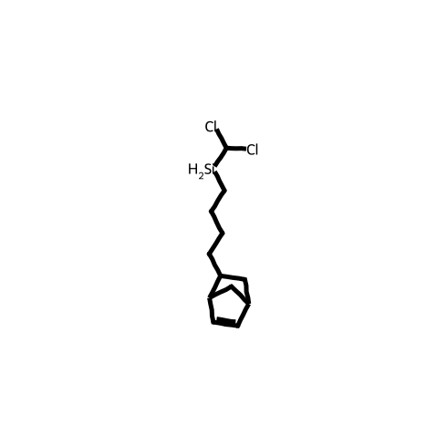 ClC(Cl)[SiH2]CCCCC1CC2C=CC1C2